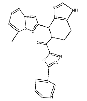 Cc1cccc2cc(C3c4nc[nH]c4CCN3C(=O)c3nnc(-c4cccnc4)o3)nn12